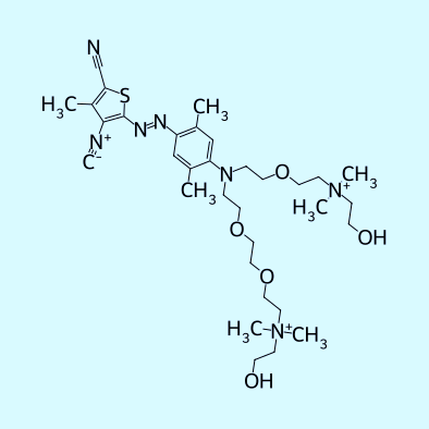 [C-]#[N+]c1c(/N=N/c2cc(C)c(N(CCOCCOCC[N+](C)(C)CCO)CCOCC[N+](C)(C)CCO)cc2C)sc(C#N)c1C